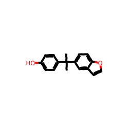 CC(C)(c1ccc(O)cc1)c1ccc2occc2c1